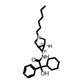 CCCCCCN1CC2[C@@H](C1)[C@@H]2NC(=O)C(O)(c1ccccc1)C1CCCCC1